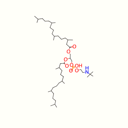 CC(C)CCCC(C)CCCC(C)CCCC(C)CC(=O)OCC(COP(=O)(O)OCCNC(C)(C)C)OC(=O)CC(C)CCCC(C)CCCC(C)CCCC(C)C